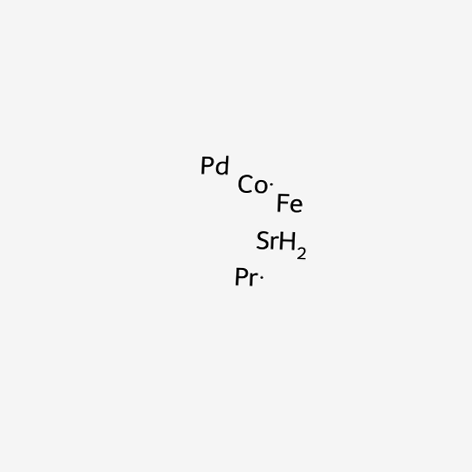 [Co].[Fe].[Pd].[Pr].[SrH2]